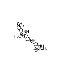 COc1cc2c(cc1Nc1ncc3ccc(NCc4ccc5c(c4)S(=O)(=O)N=C(C)N5)cc3n1)CN(C)CC2